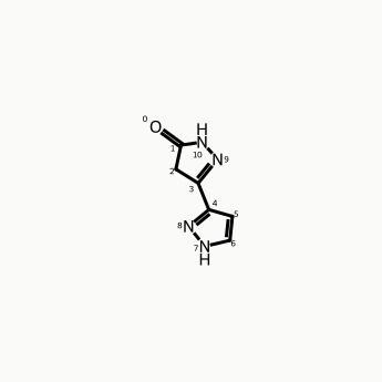 O=C1CC(c2cc[nH]n2)=NN1